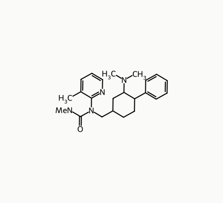 CNC(=O)N(CC1CCC(c2ccccc2)C(N(C)C)C1)c1ncccc1C